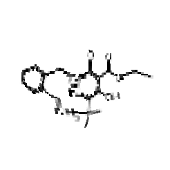 CCOC(=O)c1c(O)c(C(C)(C)C)nn(Cc2ccccc2CN)c1=O